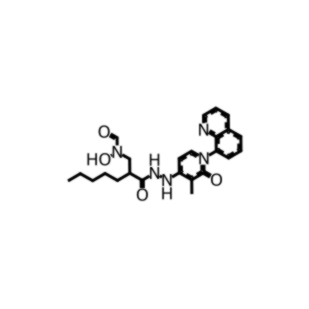 CCCCCC(CN(O)C=O)C(=O)NNc1ccn(-c2cccc3cccnc23)c(=O)c1C